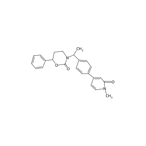 CC(c1ccc(-c2ccn(C)c(=O)c2)cc1)N1CCC(c2ccccc2)OC1=O